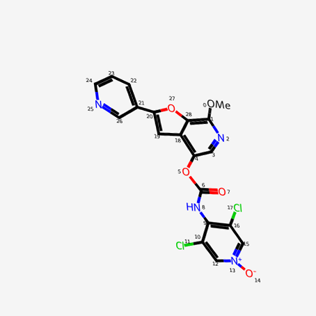 COc1ncc(OC(=O)Nc2c(Cl)c[n+]([O-])cc2Cl)c2cc(-c3cccnc3)oc12